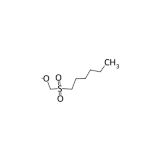 CCCCCCS(=O)(=O)C[O]